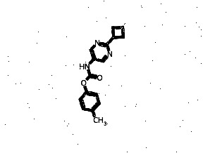 Cc1ccc(OC(=O)Nc2cnc(C3CCC3)nc2)cc1